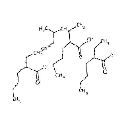 CC(C)[CH2][Sn+3].CCCCC(CC)C(=O)[O-].CCCCC(CC)C(=O)[O-].CCCCC(CC)C(=O)[O-]